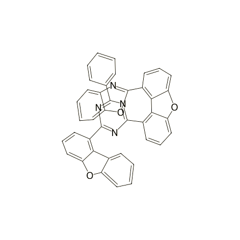 c1ccc(-c2nc(-c3cccc4oc5ccccc5c34)nc(-c3cccc4oc5cccc(-c6nc7ccccc7o6)c5c34)n2)cc1